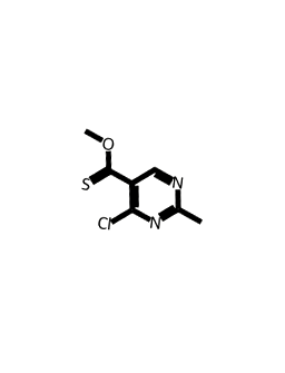 COC(=S)c1cnc(C)nc1Cl